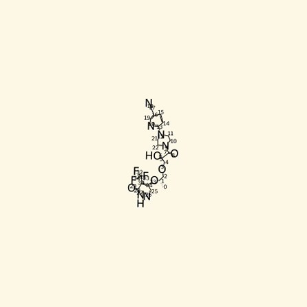 C[C@@H](COC[C@@H](O)C(=O)N1CCN(c2ccc(C#N)cn2)CC1)Oc1cn[nH]c(=O)c1C(F)(F)F